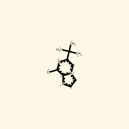 CC(C)(C)c1cn2ccnc2c(Cl)n1